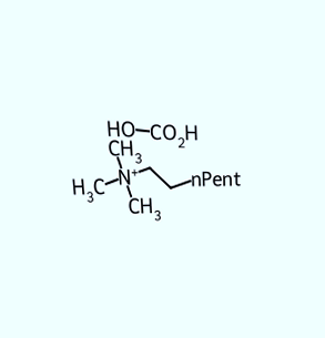 CCCCCCC[N+](C)(C)C.O=C(O)O